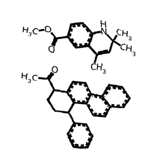 CC(=O)C1CCC(c2ccccc2)c2c1ccc1c2ccc2ccccc21.COC(=O)c1ccc2c(c1)C(C)=CC(C)(C)N2